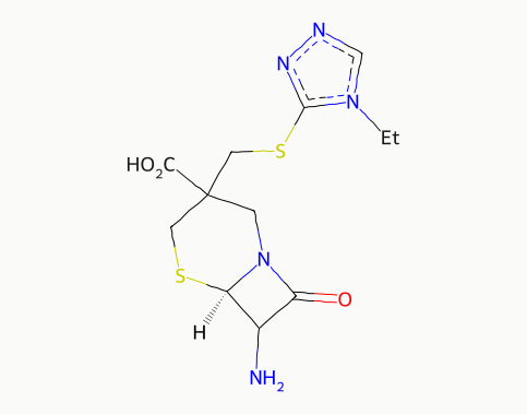 CCn1cnnc1SCC1(C(=O)O)CS[C@@H]2C(N)C(=O)N2C1